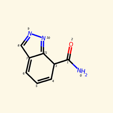 NC(=O)C1C=CC=C2C=NN=C21